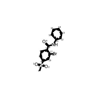 CS(=O)(=O)c1ccc(C(=O)Nc2ccccc2)c(Br)c1